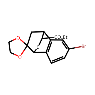 CCOC(=O)C1CC2c3ccc(Br)cc3C1CC21OCCO1